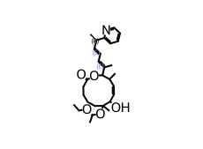 CCOC(C)OC1(C)CCCCC(=O)OC(/C(C)=C/C=C/[C@@H](C)c2ccccn2)C(C)C=CC1O